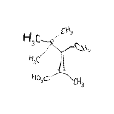 CC(C(=O)O)=C(C)[Si](C)(C)C